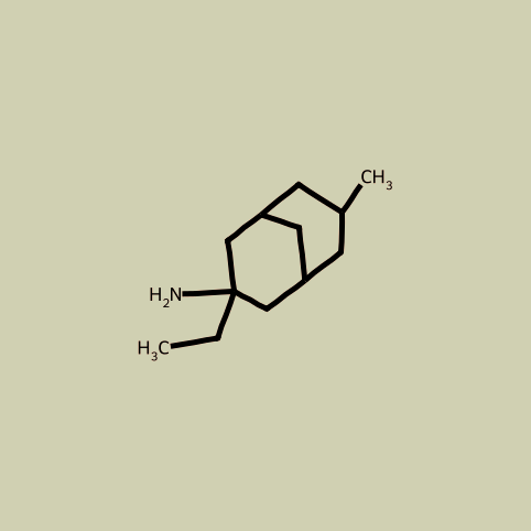 CCC1(N)CC2CC(C)CC(C2)C1